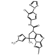 Cn1cc(C2(C)CC(C(=O)Nc3cnc(-n4nccn4)c(Cl)c3)c3cnc4cc(F)nn4c32)cn1